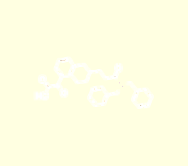 O=C(O)C(=O)c1cccc2c1CCC(CCC(=O)N(Cc1ccccc1)Cc1ccccc1)C2